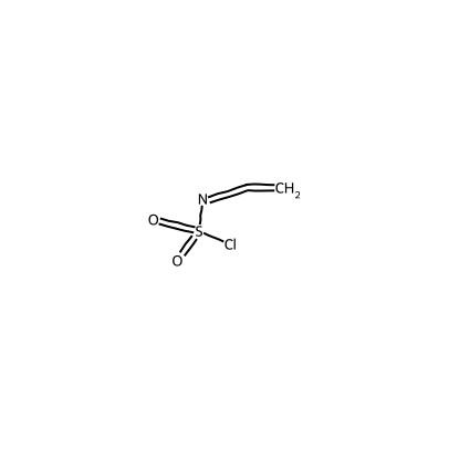 C=C=NS(=O)(=O)Cl